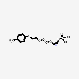 Cc1ccc(OCCOOOO/C=C\OP(=O)(O)O)cc1